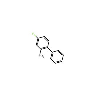 O=[N+]([O-])c1cc(F)ccc1-c1ccccc1